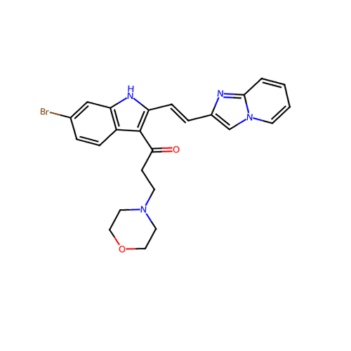 O=C(CCN1CCOCC1)c1c(C=Cc2cn3ccccc3n2)[nH]c2cc(Br)ccc12